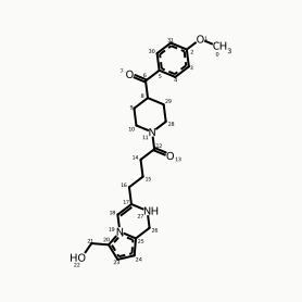 COc1ccc(C(=O)C2CCN(C(=O)CCCC3=Cn4c(CO)ccc4CN3)CC2)cc1